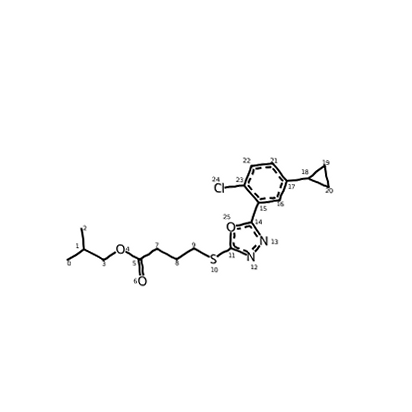 CC(C)COC(=O)CCCSc1nnc(-c2cc(C3CC3)ccc2Cl)o1